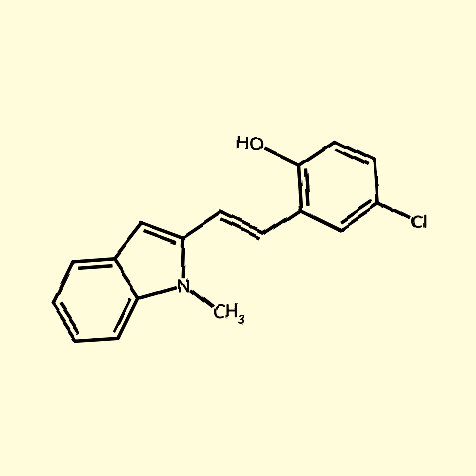 Cn1c(C=Cc2cc(Cl)ccc2O)cc2ccccc21